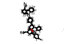 CC1C=Cc2c(n(-c3ccccc3-c3cc(-c4ccc(-n5c6ccccc6c6c(C#N)cccc65)cc4)ccc3C#N)c3ccc(C#N)cc23)C1